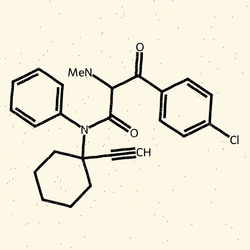 C#CC1(N(C(=O)C(NC)C(=O)c2ccc(Cl)cc2)c2ccccc2)CCCCC1